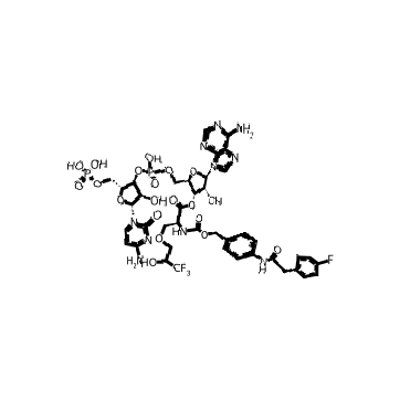 Nc1ccn([C@@H]2O[C@H](COP(=O)(O)O)[C@@H](OP(=O)(O)OC[C@H]3O[C@@H](n4cnc5c(N)ncnc54)[C@H](O)[C@@H]3OC(=O)[C@H](COCC(O)C(F)(F)F)NC(=O)OCc3ccc(NC(=O)Cc4ccc(F)cc4)cc3)[C@H]2O)c(=O)n1